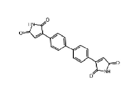 O=C1C=C(c2ccc(-c3ccc(C4=CC(=O)NC4=O)cc3)cc2)C(=O)N1